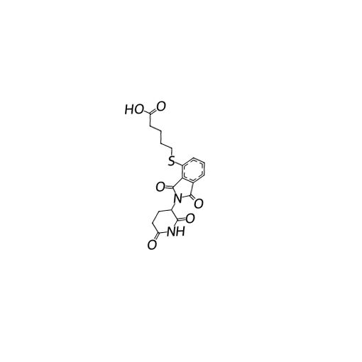 O=C(O)CCCCSc1cccc2c1C(=O)N(C1CCC(=O)NC1=O)C2=O